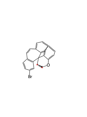 Brc1ccc2c(c1)C1(c3ccccc3C=C2)c2ccccc2Oc2ccccc21